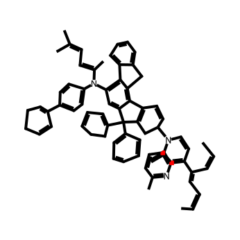 C=C/C=C(\C=C/N(c1ccc(C)nc1)C1C=CC2=C(C1)C(C1=CC=CCC1)(c1ccccc1)c1cc(N(/C(C)=C/C=C(C)C)c3ccc(C4=CCCC=C4)cc3)c3c(c12)Cc1ccccc1-3)C(/C=C\C)=C/C=C\C